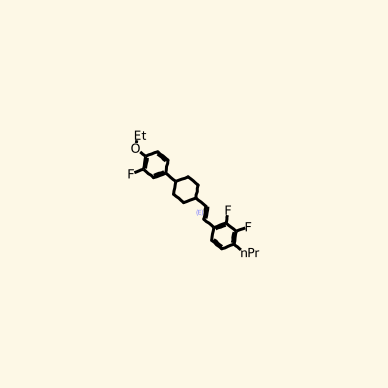 CCCc1ccc(/C=C/C2CCC(c3ccc(OCC)c(F)c3)CC2)c(F)c1F